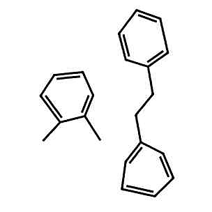 Cc1ccccc1C.c1ccc(CCc2ccccc2)cc1